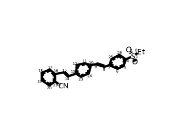 CCS(=O)(=O)c1ccc(C=Cc2ccc(C=Cc3ccccc3C#N)cc2)cc1